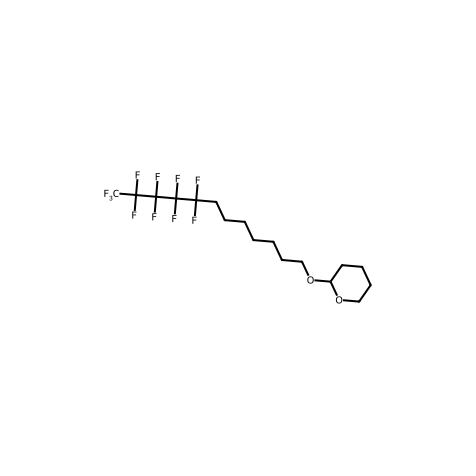 FC(F)(F)C(F)(F)C(F)(F)C(F)(F)C(F)(F)CCCCCCCOC1CCCCO1